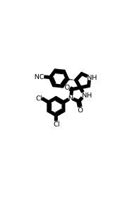 N#Cc1ccc([C@@H]2CNCC23NC(=O)N(c2cc(Cl)cc(Cl)c2)C3=O)cc1